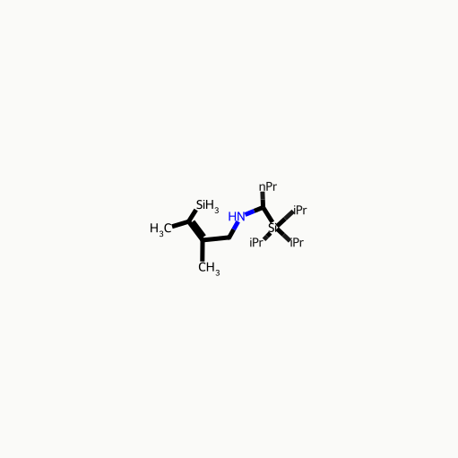 CCCC(NCC(C)=C(C)[SiH3])[Si](C(C)C)(C(C)C)C(C)C